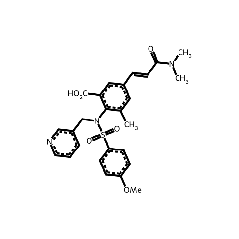 COc1ccc(S(=O)(=O)N(Cc2cccnc2)c2c(C)cc(C=CC(=O)N(C)C)cc2C(=O)O)cc1